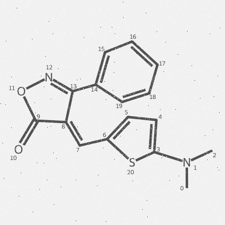 CN(C)c1ccc(/C=C2/C(=O)ON=C2c2ccccc2)s1